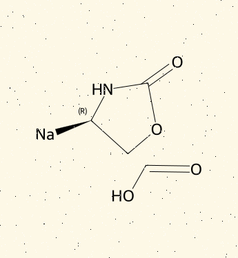 O=C1N[C@H]([Na])CO1.O=CO